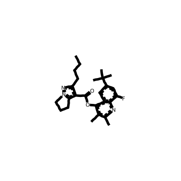 CCCCc1nn2c(c1C(=O)Oc1c(C)c(C)nc3c(F)cc(C(C)(C)C)cc13)CCC2